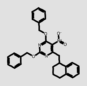 O=[N+]([O-])c1c(CC2CCCc3ccccc32)nc(OCc2ccccc2)nc1OCc1ccccc1